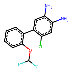 Nc1cc(Cl)c(-c2ccccc2OC(F)F)cc1N